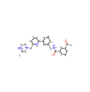 CC(=O)c1cccc(C(=O)NCc2cccc(-c3cccc(CN4CCN[C@@H](C)C4)n3)c2)c1